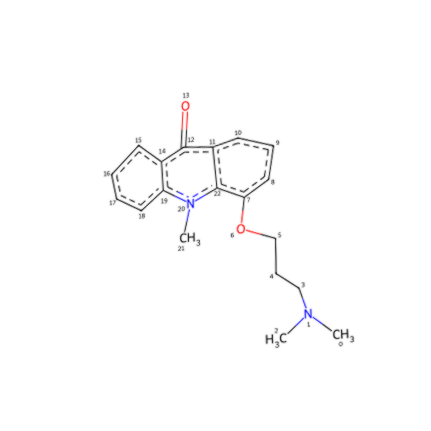 CN(C)CCCOc1cccc2c(=O)c3ccccc3n(C)c12